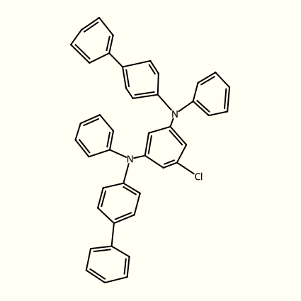 Clc1cc(N(c2ccccc2)c2ccc(-c3ccccc3)cc2)cc(N(c2ccccc2)c2ccc(-c3ccccc3)cc2)c1